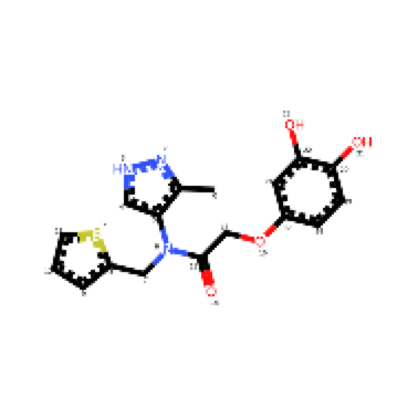 Cc1n[nH]cc1N(Cc1cccs1)C(=O)COc1ccc(O)c(O)c1